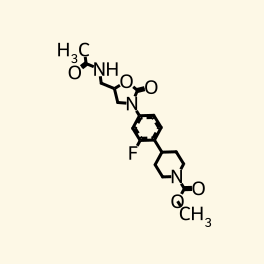 COC(=O)N1CCC(c2ccc(N3CC(CNC(C)=O)OC3=O)cc2F)CC1